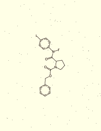 O=C(C1CCCN1C(=O)OCc1ccccc1)N(F)c1ccc(I)cc1